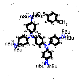 CCCCN(CCCC)c1ccc(N(c2ccc(N(CCCC)CCCC)cc2)c2ccc(N(c3ccc(N(CCCC)CCCC)cc3)c3ccc(N(CCCC)CCCC)cc3)cc2)cc1.Cc1ccc(S(=O)(=O)O)cc1